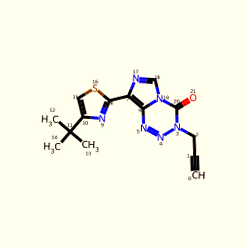 C#CCn1nnc2c(-c3nc(C(C)(C)C)cs3)ncn2c1=O